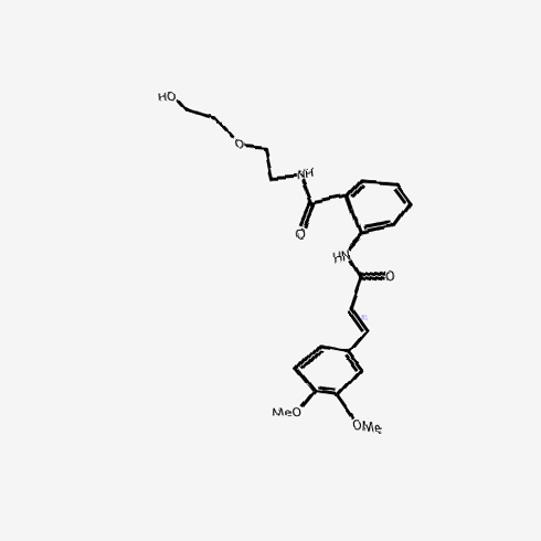 COc1ccc(/C=C/C(=O)Nc2ccccc2C(=O)NCCOCCO)cc1OC